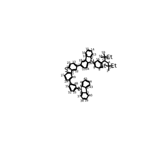 CCC(C)(CC)CC(c1cccc(-n2c3ccccc3c3cc(-c4ccc5sc6ccc(-c7cccc(-n8c9ccccc9c9ccccc98)c7)cc6c5c4)ccc32)c1)C(C)(C)CC